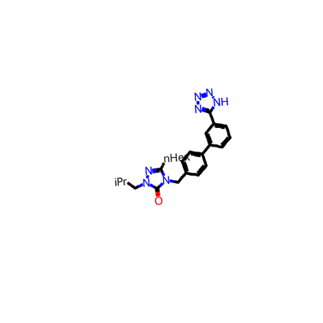 CCCCCCc1nn(CC(C)C)c(=O)n1Cc1ccc(-c2cccc(-c3nnn[nH]3)c2)cc1